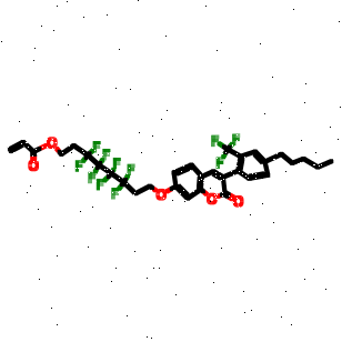 C=CC(=O)OCCC(F)(F)C(F)(F)C(F)(F)C(F)(F)CCOc1ccc2cc(-c3ccc(CCCCC)cc3C(F)(F)F)c(=O)oc2c1